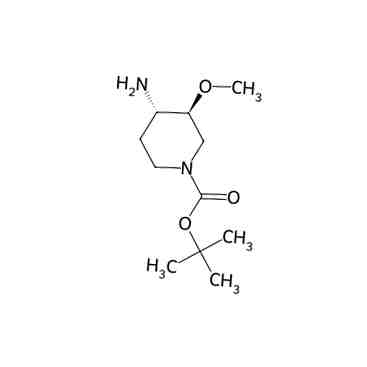 CO[C@H]1CN(C(=O)OC(C)(C)C)CC[C@@H]1N